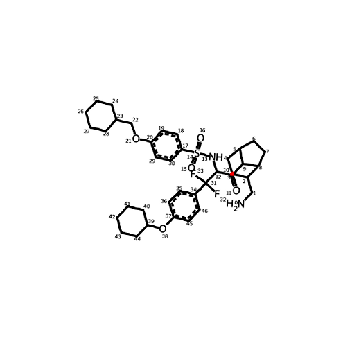 NCC1CCC2CCC1C2C(=O)C(NS(=O)(=O)c1ccc(OCC2CCCCC2)cc1)C(F)(F)c1ccc(OC2CCCCC2)cc1